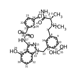 C[C@H](C(N)=O)N(C)Cc1cccc(Cn2nc(NS(=O)(=O)c3ccc(Cl)s3)c3c(O)cccc32)c1.O=CO